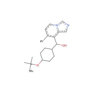 CC(C)c1ccn2cncc2c1C(O)C1CCC(O[Si](C)(C)C(C)(C)C)CC1